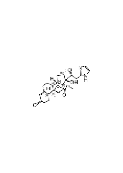 COC(=O)O[C@]12CC[C@@]3(C)[C@@H](C[C@H](C)[C@]3(O)C(=O)Cc3ncc[nH]3)[C@@H]1CCC1=CC(=O)CC[C@@]12C